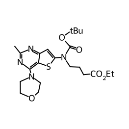 CCOC(=O)CCCN(C(=O)OC(C)(C)C)c1cc2nc(C)nc(N3CCOCC3)c2s1